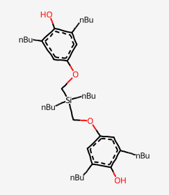 CCCCc1cc(OC[Si](CCCC)(CCCC)COc2cc(CCCC)c(O)c(CCCC)c2)cc(CCCC)c1O